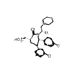 CC[C@@H](CN1CCSCC1)N1C(=O)[C@@H](CC(=O)O)C[C@H](c2cccc(Cl)c2)[C@H]1c1ccc(Cl)cc1